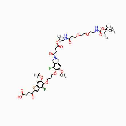 COc1cc2c(c(F)c1OCCCOc1c(OC)cc3sc(C(=O)CCC(=O)O)cc3c1F)CN(C(=O)CCC(=O)O[C@@H](C)CNC(=O)CCOCCOCCNC(=O)OC(C)(C)C)C2